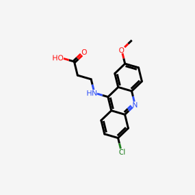 COc1ccc2nc3cc(Cl)ccc3c(NCCC(=O)O)c2c1